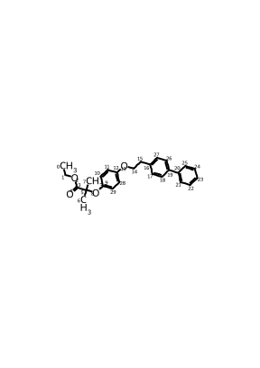 CCOC(=O)C(C)(C)Oc1ccc(OCCc2ccc(-c3ccccc3)cc2)cc1